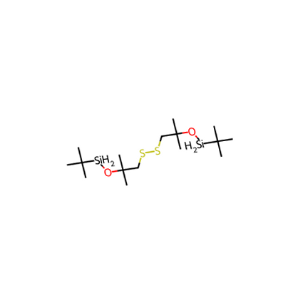 CC(C)(CSSCC(C)(C)O[SiH2]C(C)(C)C)O[SiH2]C(C)(C)C